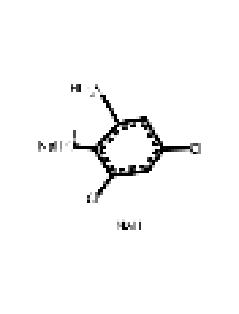 O=S(=O)(O)c1cc(Cl)cc(Cl)c1O.[NaH].[NaH]